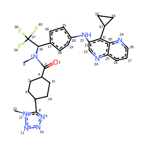 CN(C(=O)C1CCC(c2nnnn2C)CC1)[C@H](c1ccc(Nc2cnc3cccnc3c2C2CC2)cc1)C(F)(F)F